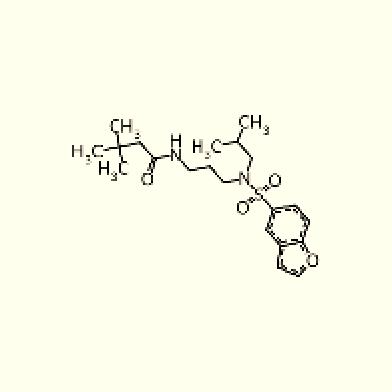 CC(C)CN(CCCNC(=O)CC(C)(C)C)S(=O)(=O)c1ccc2occc2c1